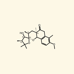 COc1ccc2c(c1C)CC(=O)[C@]1(C)C[C@H](C)[C@@]3(OC21)OC(C)(C)[C@@H](C)[C@H]3O